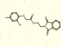 Cc1ccc(OCC(=O)OCCN2C(=O)c3ccccc3C2=O)c(Br)c1